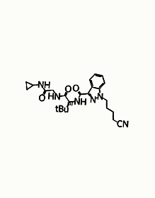 CC(C)(C)[C@H](NC(=O)c1nn(CCCCC#N)c2ccccc12)C(=O)NCC(=O)NC1CC1